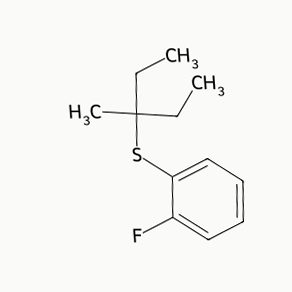 CCC(C)(CC)Sc1ccccc1F